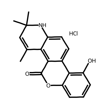 CC1=CC(C)(C)Nc2ccc3c(c21)c(=O)oc1cccc(O)c13.Cl